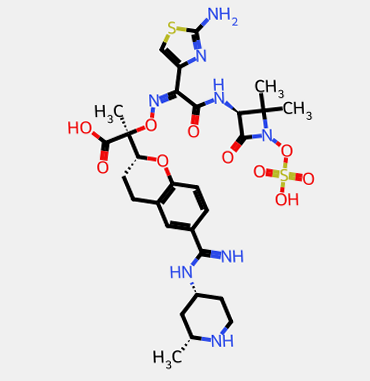 C[C@@H]1C[C@H](NC(=N)c2ccc3c(c2)CC[C@H]([C@](C)(O/N=C(\C(=O)N[C@@H]2C(=O)N(OS(=O)(=O)O)C2(C)C)c2csc(N)n2)C(=O)O)O3)CCN1